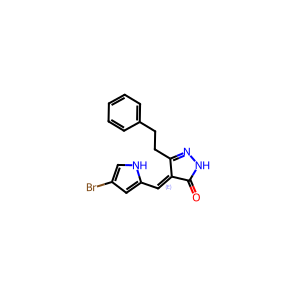 O=C1NN=C(CCc2ccccc2)/C1=C\c1cc(Br)c[nH]1